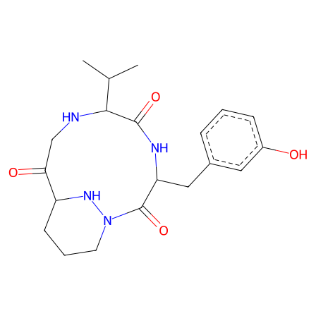 CC(C)C1NCC(=O)C2CCCN(N2)C(=O)C(Cc2cccc(O)c2)NC1=O